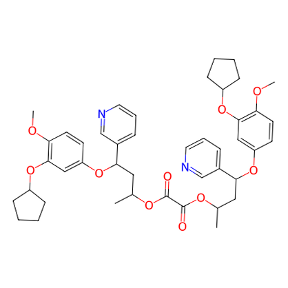 COc1ccc(OC(CC(C)OC(=O)C(=O)OC(C)CC(Oc2ccc(OC)c(OC3CCCC3)c2)c2cccnc2)c2cccnc2)cc1OC1CCCC1